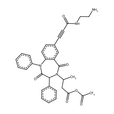 CC(CC(=O)OC(=O)C(F)(F)F)N1C(=O)c2cc(C#CC(=O)NCCN)ccc2N(c2ccccc2)C(=O)C1c1ccccc1